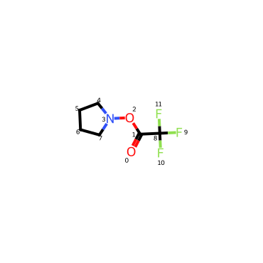 O=C(ON1CCCC1)C(F)(F)F